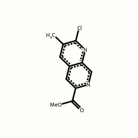 COC(=O)c1cc2cc(C)c(Cl)nc2cn1